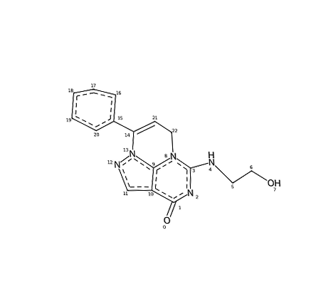 O=c1nc(NCCO)n2c3c1cnn3C(c1ccccc1)=CC2